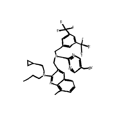 CCCN(CC1CC1)c1nc2c(C)cccc2cc1CN(Cc1cc(C(F)(F)F)cc(C(F)(F)F)c1)c1ncc(Br)cn1